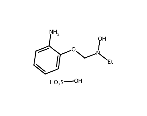 CCN(O)COc1ccccc1N.O=S(=O)(O)O